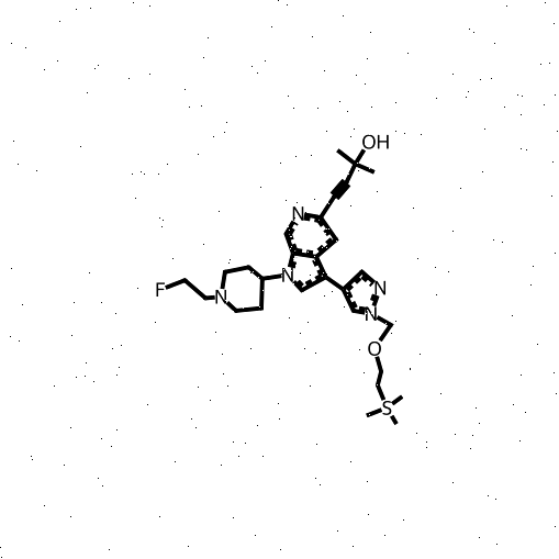 CC(C)(O)C#Cc1cc2c(-c3cnn(COCCS(C)(C)C)c3)cn(C3CCN(CCF)CC3)c2cn1